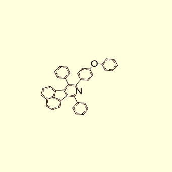 c1ccc(Oc2ccc(-c3nc(-c4ccccc4)c4c(c3-c3ccccc3)-c3cccc5cccc-4c35)cc2)cc1